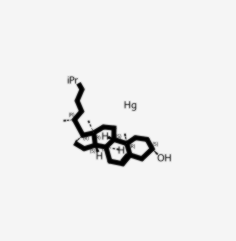 CC(C)CCC[C@@H](C)[C@H]1CC[C@H]2[C@@H]3CC=C4C[C@@H](O)CC[C@]4(C)[C@H]3CC[C@]12C.[Hg]